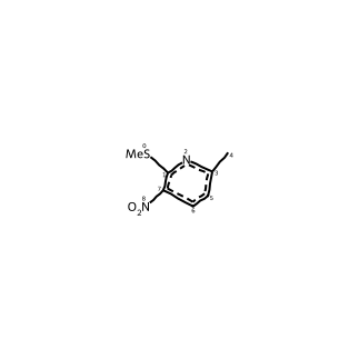 CSc1nc(C)ccc1[N+](=O)[O-]